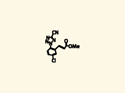 COC(=O)/C=C/c1cc(Cl)ccc1-n1nnc(C#N)n1